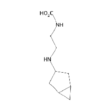 O=C(O)NCCNC1CC2CC2C1